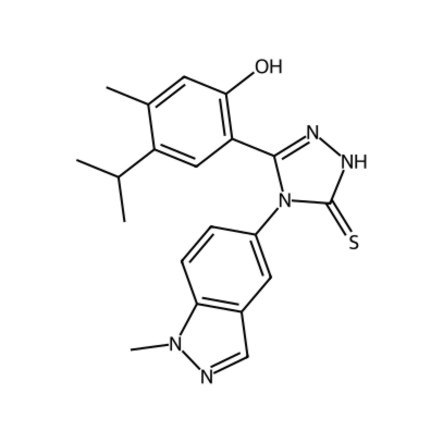 Cc1cc(O)c(-c2n[nH]c(=S)n2-c2ccc3c(cnn3C)c2)cc1C(C)C